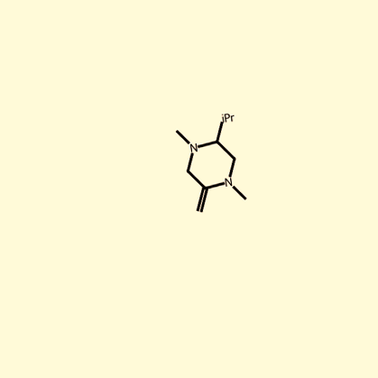 C=C1CN(C)C(C(C)C)CN1C